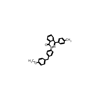 COc1ccc(Cc2ccc(-n3nc(-c4ccc(C)cc4)c4ccccc4c3=O)cc2)cc1